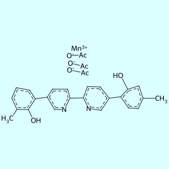 CC(=O)[O-].CC(=O)[O-].CC(=O)[O-].Cc1ccc(-c2ccc(-c3ccc(-c4cccc(C)c4O)cn3)nc2)c(O)c1.[Mn+3]